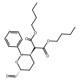 CCCCOC(=O)C(C(=O)OCCCC)[C@H]1CC[C@H](C=O)ON1c1ccccc1